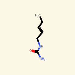 CCC=CCNC(N)=O